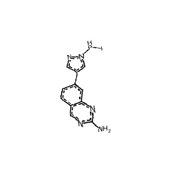 Nc1ncc2ccc(-c3cnn(PI)c3)cc2n1